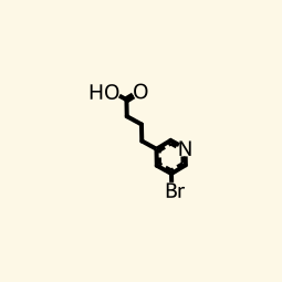 O=C(O)CCCc1cncc(Br)c1